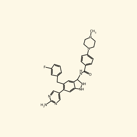 CN1CCN(c2ccc(C(=O)NC3NNc4cc(-c5cnc(N)nc5)c(Cc5cccc(F)c5)cc43)cc2)CC1